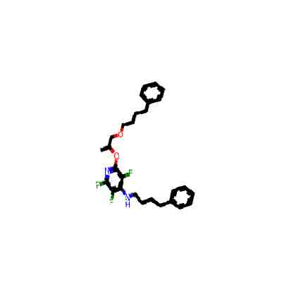 CC(COCCCCc1ccccc1)Oc1nc(F)c(F)c(NCCCCc2ccccc2)c1F